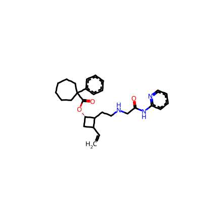 C=CC1C[C@H](OC(=O)C2(c3ccccc3)CCCCCC2)C1CCNCC(=O)Nc1ccccn1